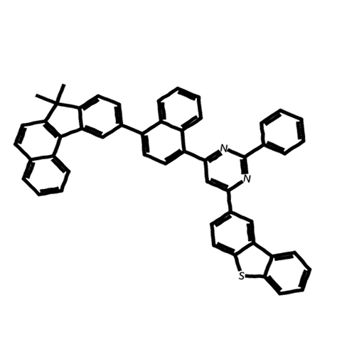 CC1(C)c2ccc(-c3ccc(-c4cc(-c5ccc6sc7ccccc7c6c5)nc(-c5ccccc5)n4)c4ccccc34)cc2-c2c1ccc1ccccc21